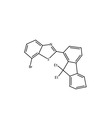 CCC1(CC)c2ccccc2-c2cccc(-c3nc4cccc(Br)c4s3)c21